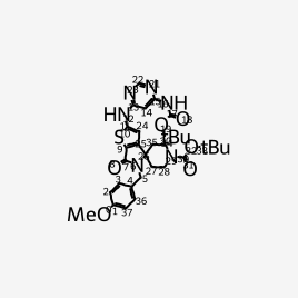 COc1ccc(CN2C(=O)c3sc(Nc4cc(NC(=O)OC(C)(C)C)ncn4)cc3C23CCN(C(=O)OC(C)(C)C)CC3)cc1